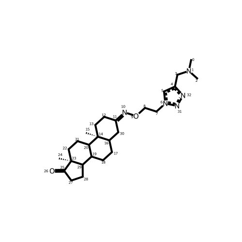 CN(C)Cc1cn(CCON=C2CC[C@@]3(C)C(CCC4C3CC[C@]3(C)C(=O)CCC43)C2)nn1